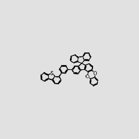 c1cc(-c2ccc3c(c2)C2(c4ccccc4-c4ccccc42)c2ccc4c(c2-3)Oc2ccccc2O4)cc(-c2cccc3c2sc2ccccc23)c1